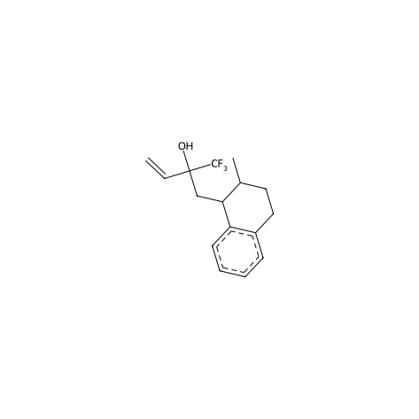 C=CC(O)(CC1c2ccccc2CCC1C)C(F)(F)F